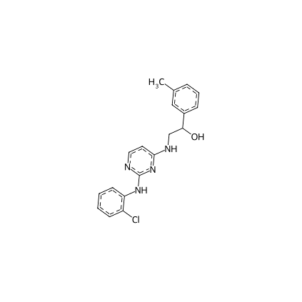 Cc1cccc(C(O)CNc2ccnc(Nc3ccccc3Cl)n2)c1